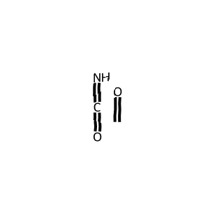 C=O.N=C=O